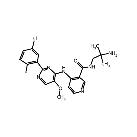 COc1cnc(-c2cc(Cl)ccc2F)nc1Nc1ccncc1C(=O)NCC(C)(C)N